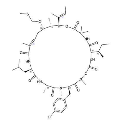 C/C=C(\C)[C@H]1OC(=O)C(C)(C)NC(=O)[C@H]([C@H](C)CC)NC(=O)CN(C)C(=O)[C@@H](Cc2ccc(Cl)cc2)N(C)C(=O)[C@H](C)NC(=O)[C@@H](CC(C)C)NC(=O)/C(C)=C/C[C@H](OCSC)[C@@H]1C